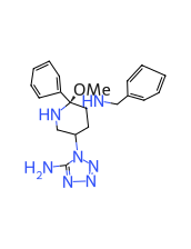 CO[C@]1(c2ccccc2)NCC(n2nnnc2N)C[C@@H]1NCc1ccccc1